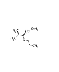 C=C(C)C(=O)OCCC.Cl.[SnH2]